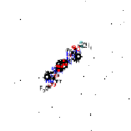 CC(C)[C@H](NC(=O)OCC(C)(F)F)C(=O)N1[C@H](c2nc3cc(-c4cc5ccc4CCc4ccc(c(-c6ccc7[nH]c([C@@H]8C[C@@H]9CCCC[C@@H]9N8C(=O)[C@@H](NC(=O)OCC(F)(F)F)C(C)C)nc7c6)c4)CC5)ccc3[nH]2)C[C@@H]2CCCC[C@@H]21